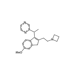 COc1ccc2c(c1)CC(CCN1CCC1)=C2C(C)c1cnccn1